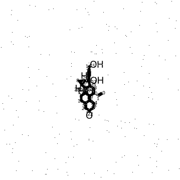 C=C[C@H]1C[C@@]2(C)[C@@H]([C@@H]3C[C@@H]3[C@@]2(O)C#CCO)[C@@H]2CCC3=CC(=O)CCC3=C21